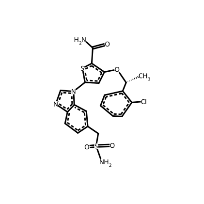 C[C@@H](Oc1cc(-n2cnc3ccc(CS(N)(=O)=O)cc32)sc1C(N)=O)c1ccccc1Cl